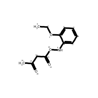 CCOc1ccccc1NOC(=O)CC(C)=O